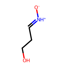 [O-][NH+]=CCCO